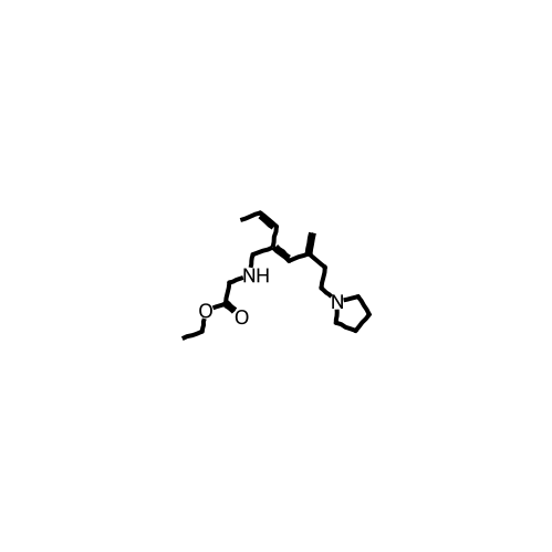 C=C(/C=C(\C=C/C)CNCC(=O)OCC)CCN1CCCC1